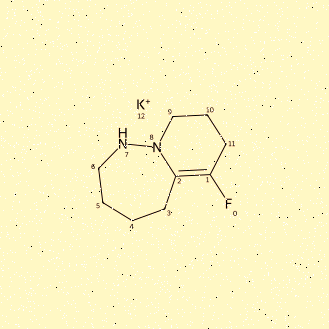 FC1=C2CCCCNN2CCC1.[K+]